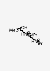 COCC(CO)CCCCNC(=O)CC(CCCCNC(=O)C(C)C)NC(C)C